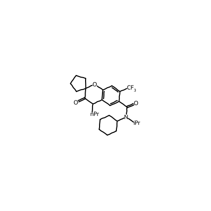 CCCC1C(=O)C2(CCCC2)Oc2cc(C(F)(F)F)c(C(=O)N(C(C)C)C3CCCCC3)cc21